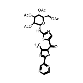 CC(=O)OC[C@H]1O[C@@H](Nc2ncc(C(=O)c3sc(-c4cnccn4)nc3C)s2)[C@@H](OC(C)=O)[C@@H](OC(C)=O)[C@@H]1OC(C)=O